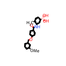 COc1cccc(COc2ccc(C(=O)Nc3cc(B(O)O)ccc3C)cc2)c1